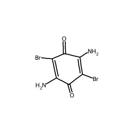 NC1=C(Br)C(=O)C(N)=C(Br)C1=O